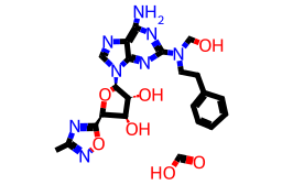 Cc1noc([C@H]2O[C@@H](n3cnc4c(N)nc(N(CO)CCc5ccccc5)nc43)[C@H](O)[C@@H]2O)n1.O=CO